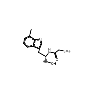 CSCC(=O)N[C@@H](BO)Cc1coc2c(C)cccc12